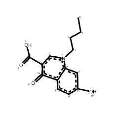 CCCCn1cc(C(=O)O)c(=O)c2ccc(O)cc21